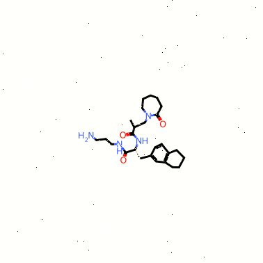 CC(CN1CCCCCC1=O)C(=O)N[C@H](Cc1ccc2c(c1)CCCC2)C(=O)NCCCN